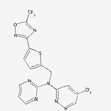 FC(F)(F)c1cnnc(N(Cc2ccc(-c3noc(C(F)(F)F)n3)s2)c2ncccn2)c1